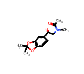 CC(=O)N(C)CC(=O)c1ccc2c(c1)OC(C)(C)O2